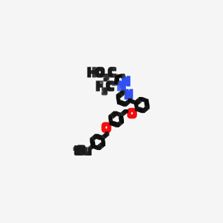 CC(C)(C)c1ccc(COc2ccc(COc3ccccc3-c3cccc(-n4ncc(C(=O)O)c4C(F)(F)F)n3)cc2)cc1